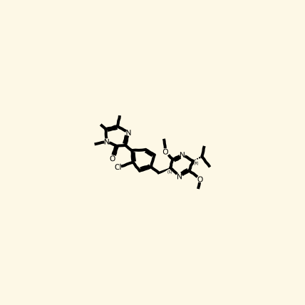 COC1=N[C@H](C(C)C)C(OC)=N[C@H]1Cc1ccc(-c2nc(C)c(C)n(C)c2=O)c(Cl)c1